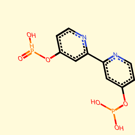 O=[PH](O)Oc1ccnc(-c2cc(OP(O)O)ccn2)c1